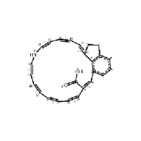 O=C(O)C1=C\c2cccc3c2/C(=C/C=C\C=C/N\C=C/C=C\C=C/C=C\1)CC3